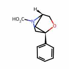 O=C(O)N1C[C@]2(c3ccccc3)C[C@H]1CO2